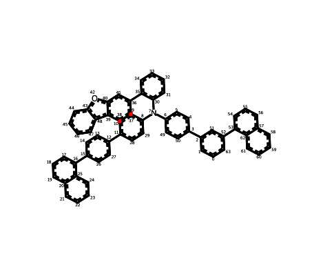 c1cc(-c2ccc(N(c3ccc(-c4ccc(-c5cccc6ccccc56)cc4)cc3)c3ccccc3-c3ccc4c(c3)oc3ccccc34)cc2)cc(-c2cccc3ccccc23)c1